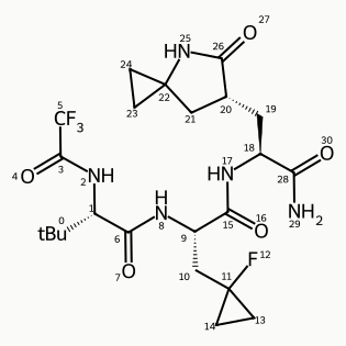 CC(C)(C)[C@H](NC(=O)C(F)(F)F)C(=O)N[C@@H](CC1(F)CC1)C(=O)N[C@@H](C[C@@H]1CC2(CC2)NC1=O)C(N)=O